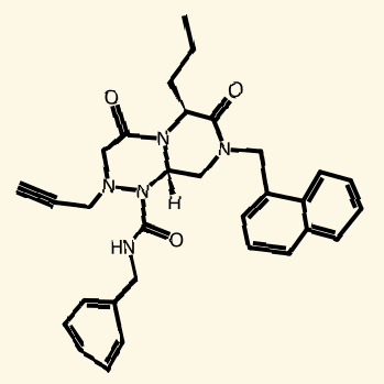 C#CCN1CC(=O)N2[C@@H](CCC)C(=O)N(Cc3cccc4ccccc34)C[C@@H]2N1C(=O)NCc1ccccc1